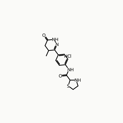 CC1CC(=O)NN=C1c1ccc(NC(=O)C2NCCS2)cc1.Cl